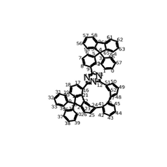 c1ccc(C2(c3cccc(-c4nc5nc(n4)-c4cccc6c4-c4cc(ccc4C6(c4ccccc4)c4ccccc4)-c4ccccc4-c4cccc-5c4)c3)c3ccccc3-c3ccccc32)cc1